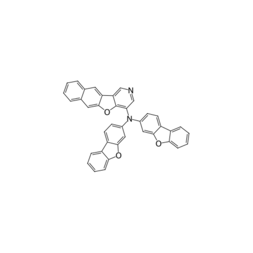 c1ccc2cc3c(cc2c1)oc1c(N(c2ccc4c(c2)oc2ccccc24)c2ccc4c(c2)oc2ccccc24)cncc13